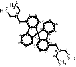 CCN(CC)Cc1cccc2c1-c1ccccc1C21c2ccccc2-c2c(CN(CC)CC)cccc21